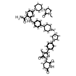 CN1CCN([C@H]2CCCN(c3cnc(C(N)=O)c(Nc4ccc(C5CCN(C[C@@H]6CCN(c7ccc(-c8nn(C9CCC(=O)NC9=O)c(=O)n8C)cc7)C6)CC5)cc4)n3)C2)C1=O